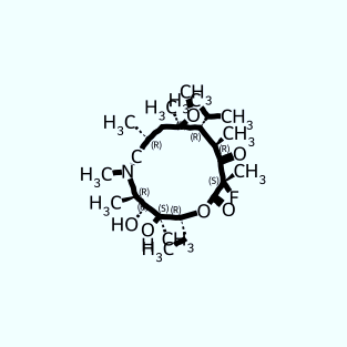 CC[C@H]1OC(=O)[C@@](C)(F)C(=O)[C@H](C)[C@@H](C(C)C)[C@](C)(OC)C[C@@H](C)CN(C)[C@H](C)[C@@H](O)[C@]1(C)O